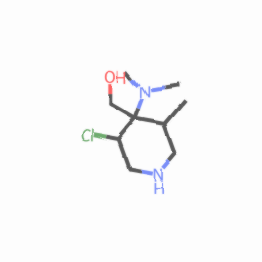 CC1CNCC(Cl)C1(CO)N(C)C